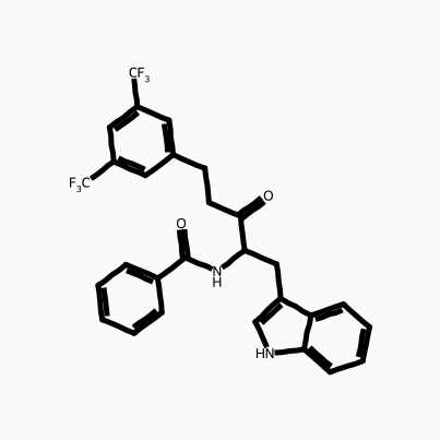 O=C(NC(Cc1c[nH]c2ccccc12)C(=O)CCc1cc(C(F)(F)F)cc(C(F)(F)F)c1)c1ccccc1